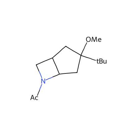 COC1(C(C)(C)C)CC2CN(C(C)=O)C2C1